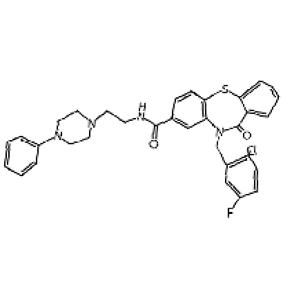 O=C(NCCN1CCN(c2ccccc2)CC1)c1ccc2c(c1)N(Cc1cc(F)ccc1Cl)C(=O)c1ccccc1S2